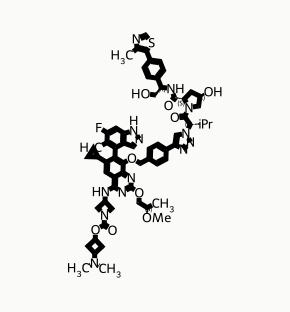 CO[C@@H](C)COc1nc(NC2CN(C(=O)OC3CC(N(C)C)C3)C2)c2cc(C3CC3)c(-c3c(C)c(F)cc4[nH]ncc34)c(OCc3ccc(-c4cn([C@H](C(=O)N5C[C@H](O)C[C@H]5C(=O)N[C@@H](CO)c5ccc(-c6scnc6C)cc5)C(C)C)nn4)cc3)c2n1